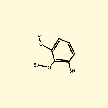 CCOc1cccc(S)c1OCC